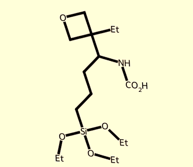 CCO[Si](CCCC(NC(=O)O)C1(CC)COC1)(OCC)OCC